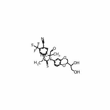 CN(C(=S)N(c1ccc2c(c1)OCC(C(O)CO)O2)C(C)(C)C=O)c1ccc(C#N)c(C(F)(F)F)c1